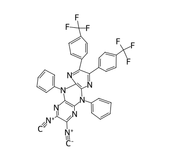 [C-]#[N+]c1nc2c(nc1[N+]#[C-])N(c1ccccc1)c1nc(-c3ccc(C(F)(F)F)cc3)c(-c3ccc(C(F)(F)F)cc3)nc1N2c1ccccc1